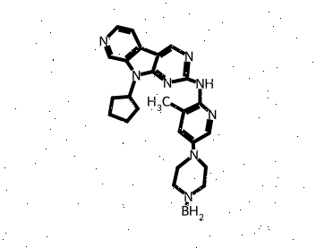 BN1CCN(c2cnc(Nc3ncc4c5ccncc5n(C5CCCC5)c4n3)c(C)c2)CC1